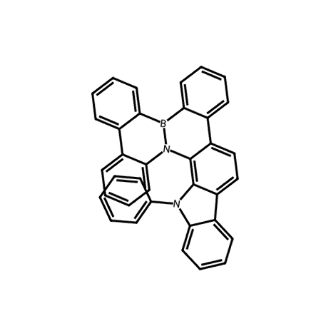 c1ccc(-n2c3ccccc3c3ccc4c(c32)N2B(c3ccccc3-c3ccccc32)c2ccccc2-4)cc1